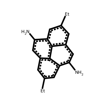 CCc1cc2cc(N)c3cc(CC)cc4cc(N)c(c1)c2c43